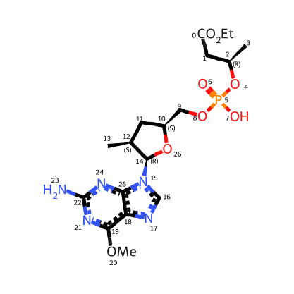 CCOC(=O)C[C@@H](C)OP(=O)(O)OC[C@@H]1C[C@H](C)[C@H](n2cnc3c(OC)nc(N)nc32)O1